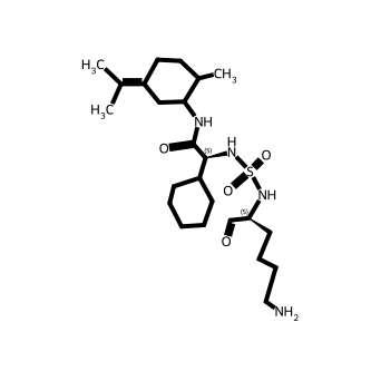 CC(C)=C1CCC(C)C(NC(=O)[C@@H](NS(=O)(=O)N[C@H](C=O)CCCCN)C2CCCCC2)C1